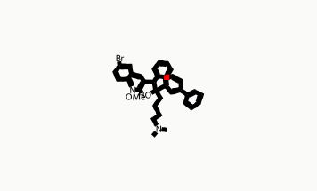 COc1nc2ccc(Br)cc2cc1C(c1ccccc1)C(O)(CCCCN(C)C)c1cccc(-c2ccccc2)c1